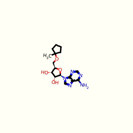 CC1(OC[C@H]2O[C@@H](n3cnc4c(N)ncnc43)[C@H](O)[C@@H]2O)CCCC1